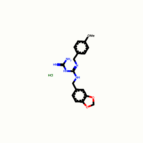 COc1ccc(CN=C(NCc2ccc3c(c2)OCO3)NC(=N)N)cc1.Cl